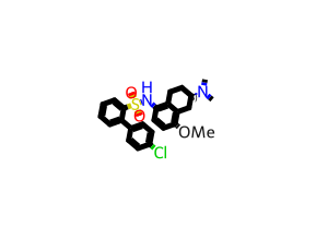 COc1ccc(NS(=O)(=O)c2ccccc2-c2ccc(Cl)cc2)c2c1C[C@@H](N(C)C)CC2